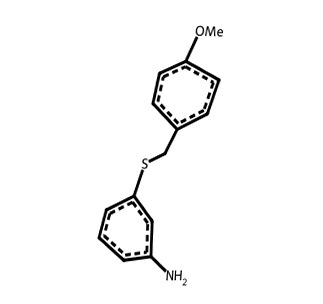 COc1ccc(CSc2cccc(N)c2)cc1